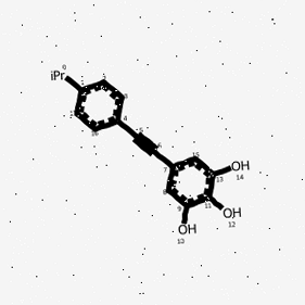 CC(C)c1ccc(C#Cc2cc(O)c(O)c(O)c2)cc1